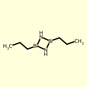 CC[CH2][Bi]1[NH][Bi]([CH2]CC)[NH]1